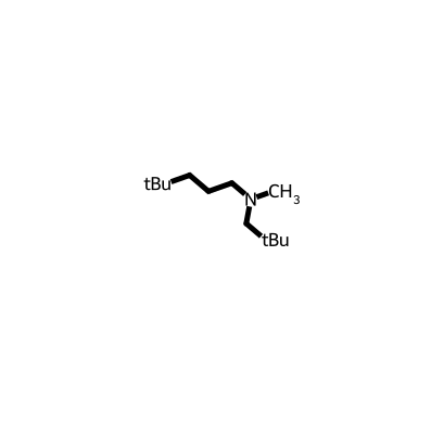 CN(CCCC(C)(C)C)CC(C)(C)C